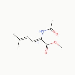 COC(=O)/C(=C/C=C(C)C)NC(C)=O